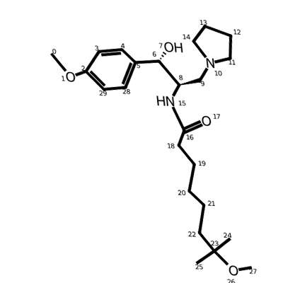 COc1ccc([C@H](O)[C@@H](CN2CCCC2)NC(=O)CCCCCC(C)(C)OC)cc1